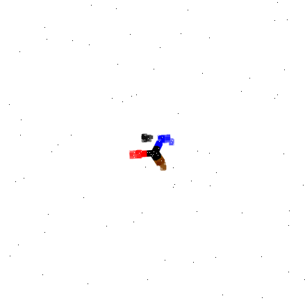 NC(O)=S.[Sc]